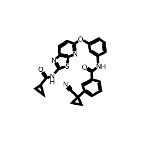 N#CC1(c2cccc(C(=O)Nc3cccc(Oc4ccc5nc(NC(=O)C6CC6)sc5n4)c3)c2)CC1